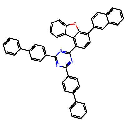 c1ccc(-c2ccc(-c3nc(-c4ccc(-c5ccccc5)cc4)nc(-c4ccc(-c5ccc6ccccc6c5)c5oc6ccccc6c45)n3)cc2)cc1